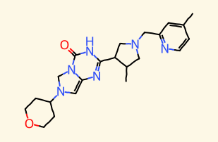 Cc1ccnc(CN2CC(C)C(C3=NC4=CN(C5CCOCC5)CN4C(=O)N3)C2)c1